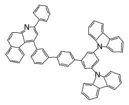 c1ccc(-c2cc(-c3cccc(-c4ccc(-c5cc(-n6c7ccccc7c7ccccc76)cc(-n6c7ccccc7c7ccccc76)c5)cc4)c3)c3c(ccc4ccccc43)n2)cc1